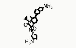 Cc1c(-c2ccc3c(c2)CC(N)C3)ccc2c3oc(N4CCC(N)C4)nc3c(=O)n(C3CC3)c12